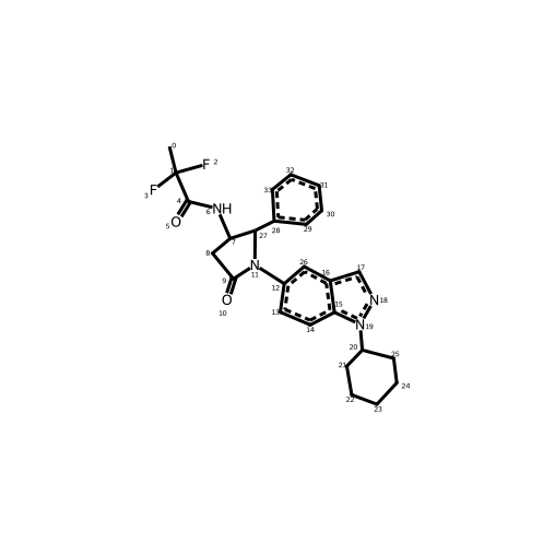 CC(F)(F)C(=O)NC1CC(=O)N(c2ccc3c(cnn3C3CCCCC3)c2)C1c1ccccc1